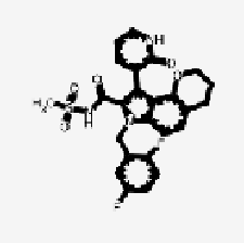 CS(=O)(=O)NC(=O)c1c(-c2ccc[nH]c2=O)c2c3c(ccc2n1Cc1cc(F)ccc1F)CCCO3